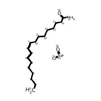 CCCCCCCC/C=C\CCCCCCCC(N)=O.O=[Se]=O